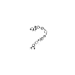 N#Cc1ccc(N2CCC(C(=O)Nc3ccc(N4CC(CN5CCC(CN6CCN(c7ccc8c(c7)C(=O)N(C7CCC(=O)NC7=O)C8=O)CC6)CC5)C4)cn3)CC2)cc1C(F)(F)F